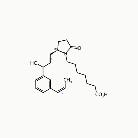 C/C=C\c1cccc(C(O)/C=C/[C@H]2CCC(=O)N2CCCCCCC(=O)O)c1